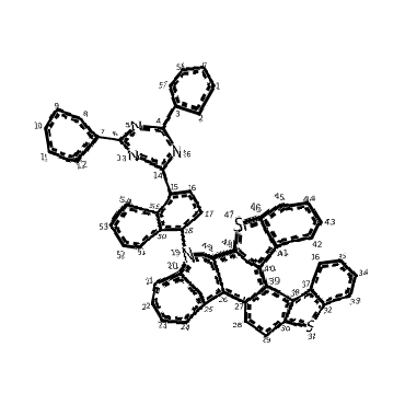 c1ccc(-c2nc(-c3ccccc3)nc(-c3ccc(-n4c5ccccc5c5c6ccc7sc8ccccc8c7c6c6c7ccccc7sc6c54)c4ccccc34)n2)cc1